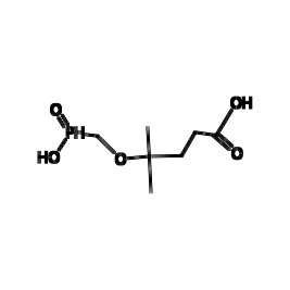 CC(C)(CCC(=O)O)OC[PH](=O)O